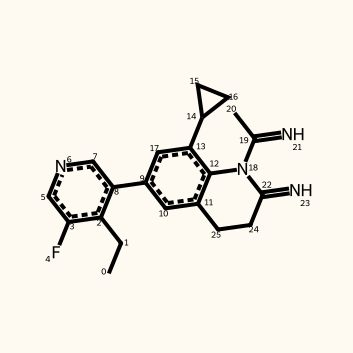 CCc1c(F)cncc1-c1cc2c(c(C3CC3)c1)N(C(C)=N)C(=N)CC2